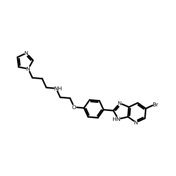 Brc1cnc2[nH]c(-c3ccc(OCCNCCCn4ccnc4)cc3)nc2c1